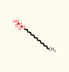 CCCCCCCCCCCCCCCCOC(=O)OC(=O)O